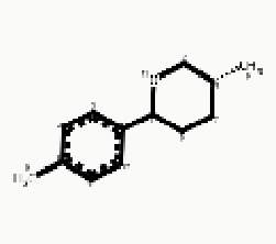 Cc1ccc(C2CC[C@@H](C)CO2)cc1